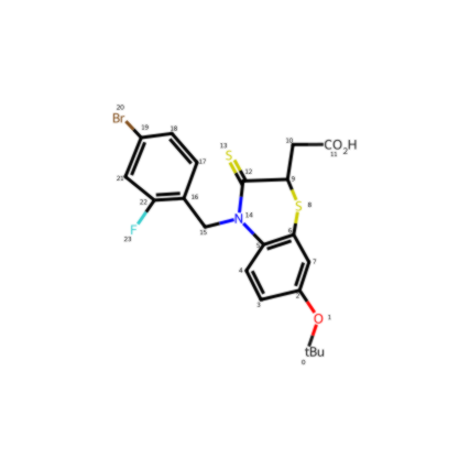 CC(C)(C)Oc1ccc2c(c1)SC(CC(=O)O)C(=S)N2Cc1ccc(Br)cc1F